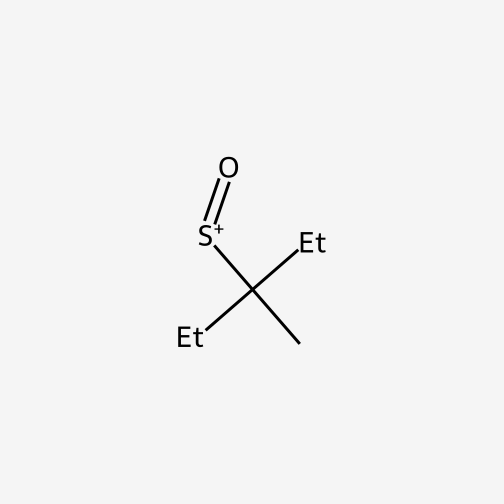 CCC(C)(CC)[S+]=O